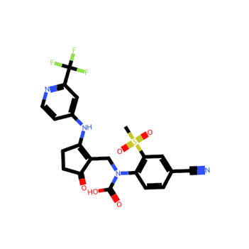 CS(=O)(=O)c1cc(C#N)ccc1N(CC1=C(Nc2ccnc(C(F)(F)F)c2)CCC1=O)C(=O)O